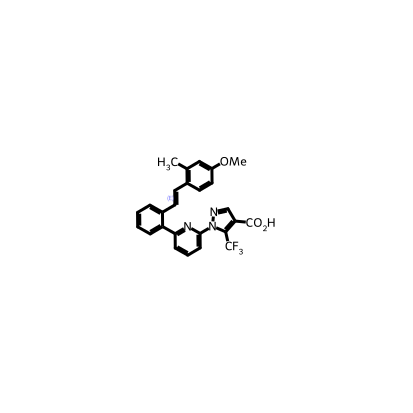 COc1ccc(/C=C/c2ccccc2-c2cccc(-n3ncc(C(=O)O)c3C(F)(F)F)n2)c(C)c1